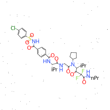 CCCNC(=O)C(F)(F)C(=O)C(C(C)C)N(C(=O)CNC(=O)[C@@H](NC(=O)c1ccc(C(=O)NS(=O)(=O)c2ccc(Cl)cc2)cc1)C(C)C)C1CCCC1